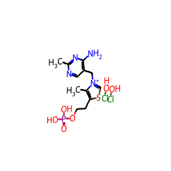 Cc1ncc(C[n+]2csc(CCOP(=O)(O)O)c2C)c(N)n1.OCl.OCl